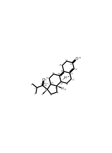 CC(C)C(=O)[C@@]1(C)CC[C@H]2[C@@H]3CCC4=CC(=O)CCC4=C3CC[C@@]21C